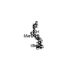 COc1cc2c(cc1C(=O)NCCCN1CCC(F)CC1)sc1nc(-c3ccc(C4CCCN4C(=O)OC(C)(C)C)cc3F)cn12